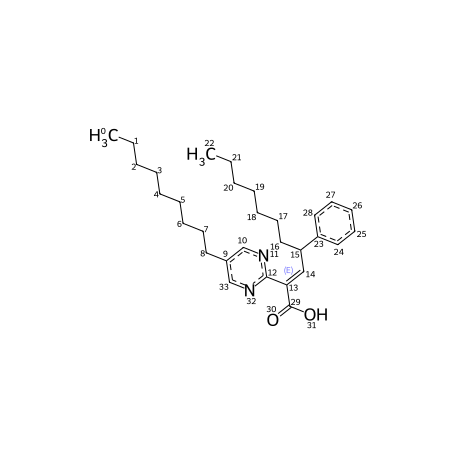 CCCCCCCCCc1cnc(/C(=C\C(CCCCCCC)c2ccccc2)C(=O)O)nc1